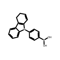 OB(O)c1ccc(-n2c3c(c4ccccc42)CCC=C3)cc1